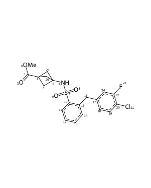 COC(=O)C12CC(NS(=O)(=O)c3ccccc3Cc3ccc(Cl)c(F)c3)(C1)C2